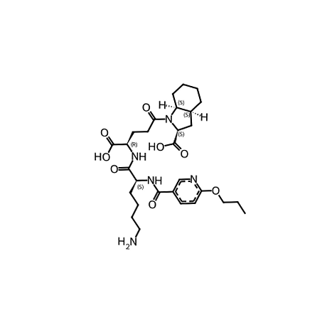 CCCOc1ccc(C(=O)N[C@@H](CCCCN)C(=O)N[C@H](CCC(=O)N2[C@H](C(=O)O)C[C@@H]3CCCC[C@@H]32)C(=O)O)cn1